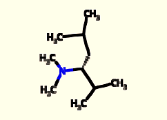 CC(C)C[C@H](C(C)C)N(C)C